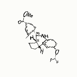 COC(=O)c1ccc([C@@H]2Nc3ccc(OC(F)F)cc3[C@@H]3CCC[C@@H]32)c(C)c1